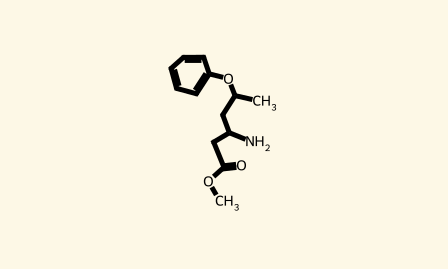 COC(=O)CC(N)CC(C)Oc1ccccc1